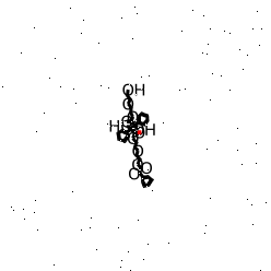 O=C(OCCOCCOC(=O)C(O)(c1ccccc1)C(O)(C(=O)OCCOCCO)c1ccccc1)C(=O)c1ccccc1